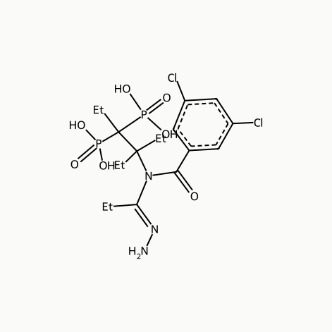 CCC(=NN)N(C(=O)c1cc(Cl)cc(Cl)c1)C(CC)(CC)C(CC)(P(=O)(O)O)P(=O)(O)O